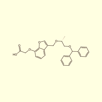 C[C@H](COC(c1ccccc1)c1ccccc1)OCc1coc2c(OCC(=O)O)cccc12